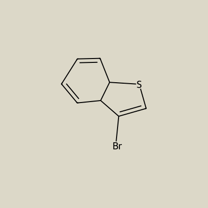 BrC1=CSC2C=CC=CC12